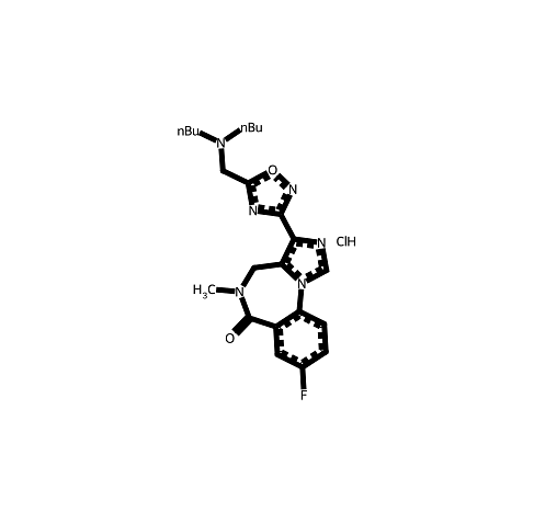 CCCCN(CCCC)Cc1nc(-c2ncn3c2CN(C)C(=O)c2cc(F)ccc2-3)no1.Cl